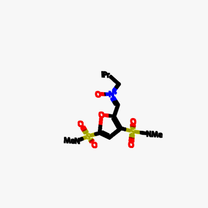 CNS(=O)(=O)c1cc(S(=O)(=O)NC)c(C=[N+]([O-])CC(C)C)o1